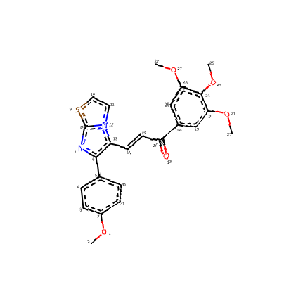 COc1ccc(-c2nc3sccn3c2C=CC(=O)c2cc(OC)c(OC)c(OC)c2)cc1